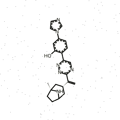 C=C(c1ncc(-c2ccc(-n3ccnc3)cc2O)nn1)[C@@H]1CC2CC[C@@](C)(C1)N2